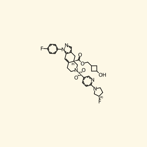 O=C(OCC1CC(O)C1)[C@]12Cc3cnn(-c4ccc(F)cc4)c3C=C1CCN(S(=O)(=O)c1ccc(N3CC[C@@H](F)C3)nc1)C2